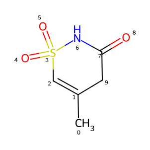 CC1=CS(=O)(=O)NC(=O)C1